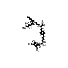 CCCCCCN(CCCN[C@@H](CCc1ccc(CCCCNC(=N)NC(=O)c2nc(Cl)c(N)nc2N)cc1)C(N)=O)C[C@H](O)C[C@H](O)[C@H](O)CO